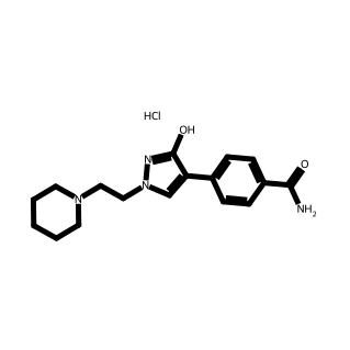 Cl.NC(=O)c1ccc(-c2cn(CCN3CCCCC3)nc2O)cc1